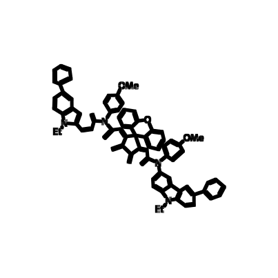 C=C1C(=C)/C(=C\C(=C)N(c2ccc(OC)cc2)c2ccc3c(c2)c2cc(-c4ccccc4)ccc2n3CC)C2(/C1=C/C(=C)N(C(=C)/C=C\c1cc3cc(-c4ccccc4)ccc3n1CC)c1ccc(OC)cc1)c1ccccc1Oc1ccccc12